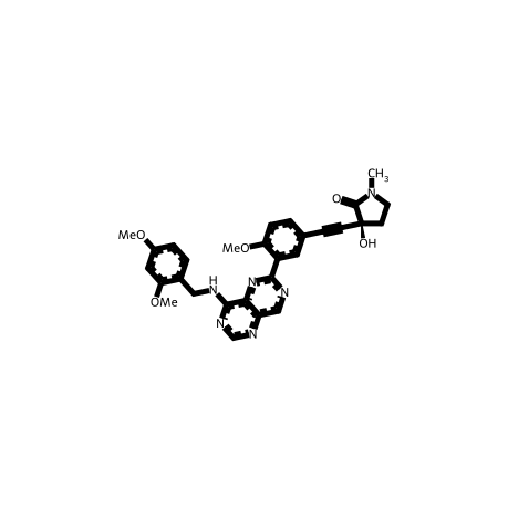 COc1ccc(CNc2ncnc3cnc(-c4cc(C#C[C@@]5(O)CCN(C)C5=O)ccc4OC)nc23)c(OC)c1